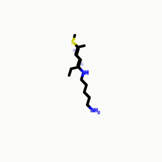 CC/C(=C\C=C(/C)SC)NCCCCCN